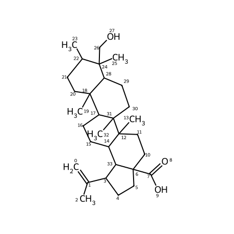 C=C(C)C1CCC2(C(=O)O)CCC3(C)C(CCC4C5(C)CCC(C)C(C)(CO)C5CCC43C)C12